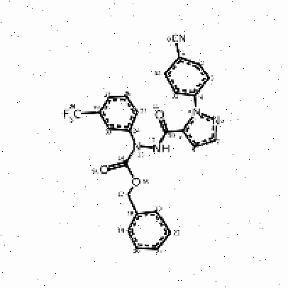 N#Cc1ccc(-n2nccc2C(=O)NN(C(=O)OCc2ccccc2)c2cccc(C(F)(F)F)c2)cc1